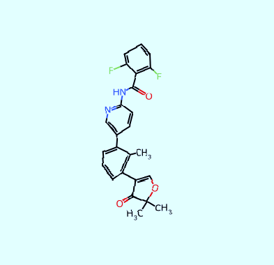 Cc1c(C2=COC(C)(C)C2=O)cccc1-c1ccc(NC(=O)c2c(F)cccc2F)nc1